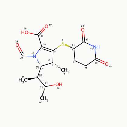 C[C@@H]([C@H]1[C@@H](C)C(S[C@@H]2CCC(=O)NC2=O)=C(C(=O)O)N1C=O)[C@@H](C)O